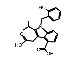 CC(C)c1c(CC(=O)O)c2c(C(=O)O)cccc2n1Cc1ccccc1O